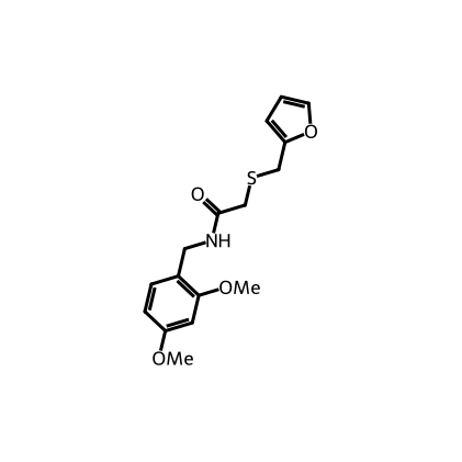 COc1ccc(CNC(=O)CSCc2ccco2)c(OC)c1